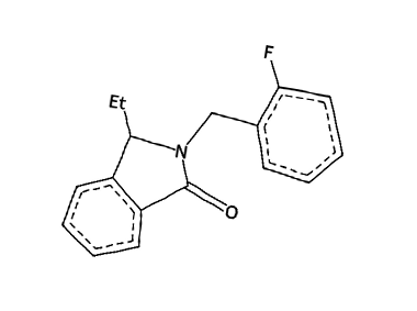 CCC1c2ccccc2C(=O)N1Cc1ccccc1F